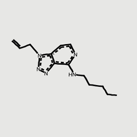 C=CCn1nnc2c(NCCCCC)nccc21